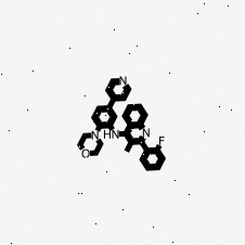 Cc1c(-c2ccccc2F)nc2ccccc2c1Nc1cc(-c2ccncc2)ccc1N1CCOCC1